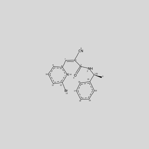 C[C@H](NC(=O)C(C#N)=Cc1cccc(Br)n1)c1ccccc1